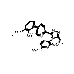 COCc1nnc(-c2ccc(-c3cccc(C)c3C)cn2)n1-c1ccc(OC)nc1